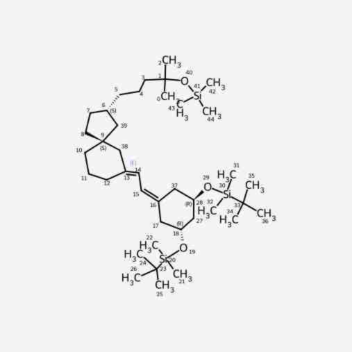 CC(C)(CCC[C@H]1CC[C@@]2(CCC/C(=C\C=C3C[C@@H](O[Si](C)(C)C(C)(C)C)C[C@H](O[Si](C)(C)C(C)(C)C)C3)C2)C1)O[Si](C)(C)C